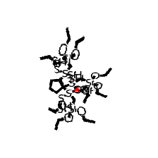 CCO[Si](CS(S)(SS)C1CCCC1(S(S)(C[Si](OCC)(OCC)OCC)SS)S(S)(C[Si](OCC)(OCC)OCC)SS)(OCC)OCC